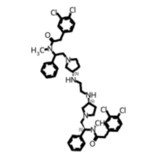 CN(C(=O)Cc1ccc(Cl)c(Cl)c1)C(CN1CC[C@H](NCCN[C@H]2CCN(C[C@H](c3ccccc3)N(C)C(=O)Cc3ccc(Cl)c(Cl)c3)C2)C1)c1ccccc1